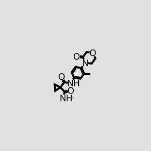 Cc1cc(NC(=O)C2(C([NH])=O)CC2)ccc1N1CCOCC1=O